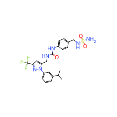 CC(C)c1cccc(-n2nc(C(F)(F)F)cc2CNC(=O)Nc2ccc(CNS(N)(=O)=O)cc2)c1